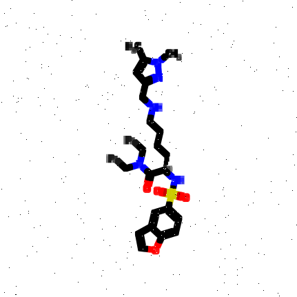 Cc1cc(CNCCCC[C@H](NS(=O)(=O)c2ccc3occc3c2)C(=O)N(CC(C)C)CC(C)C)nn1C